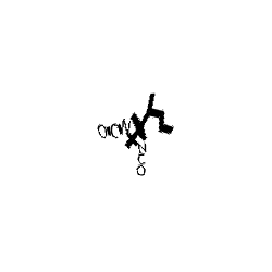 CCCC(C)C(C)(C)C(C)(N=C=O)N=C=O